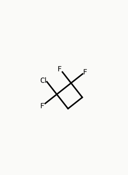 FC1(F)CCC1(F)Cl